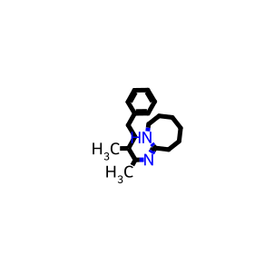 CC(CCc1ccccc1)C(C)/N=C1/CCCCCCN1